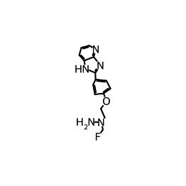 NN(CF)CCOc1ccc(-c2nc3ncccc3[nH]2)cc1